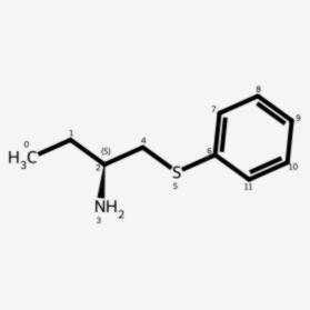 CC[C@H](N)CSc1ccccc1